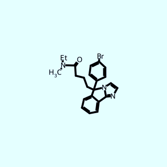 CCN(C)C(=O)CCCC1(c2ccc(Br)cc2)c2ccccc2-c2nccn21